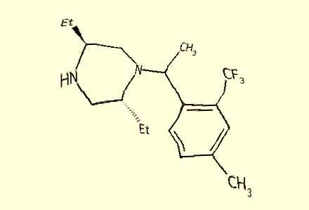 CC[C@H]1CN(C(C)c2ccc(C)cc2C(F)(F)F)[C@H](CC)CN1